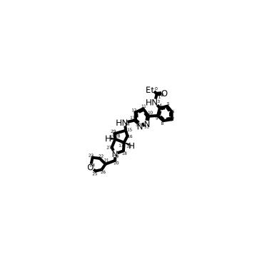 CCC(=O)Nc1ccccc1-c1ccc(NC2C[C@@H]3CN(CC4CCOCC4)C[C@@H]3C2)nn1